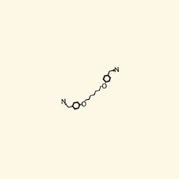 N#CCc1ccc(OCCCCCCCOc2ccc(CC#N)cc2)cc1